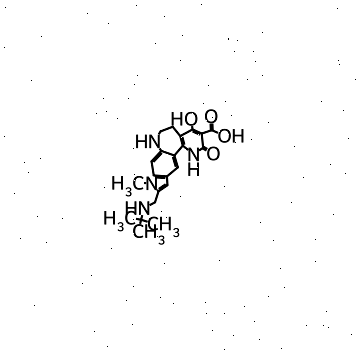 Cn1c(CNC(C)(C)C)cc2cc3c(cc21)NCCc1c-3[nH]c(=O)c(C(=O)O)c1O